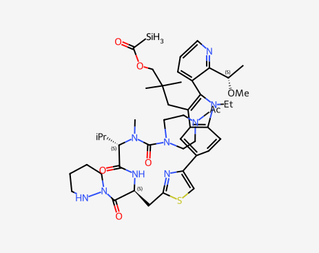 CCn1c(-c2cccnc2[C@H](C)OC)c(CC(C)(C)COC(=O)[SiH3])c2cc(-c3csc(C[C@H](NC(=O)[C@H](C(C)C)N(C)C(=O)N4CCN(C(C)=O)CC4)C(=O)N4CCCCN4)n3)ccc21